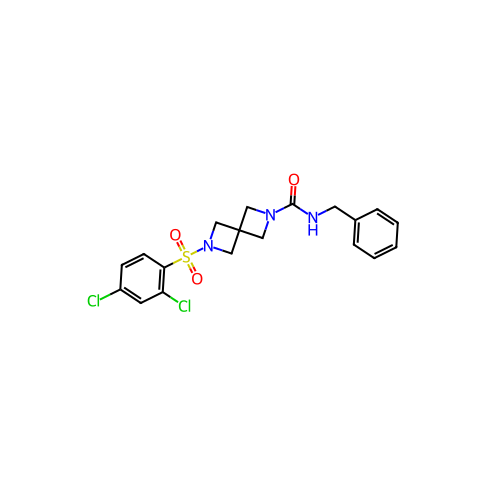 O=C(NCc1ccccc1)N1CC2(C1)CN(S(=O)(=O)c1ccc(Cl)cc1Cl)C2